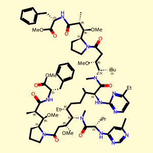 CCc1ccnc(N[C@H](C(=O)N(C)[C@@H]([C@@H](C)CC)[C@@H](CC(=O)N2CCC[C@H]2[C@H](OC)[C@@H](C)C(=O)N[C@@H](Cc2ccccc2)C(=O)OC)OC)C(C)CC[C@@H](CC)[C@@H]([C@@H](CC(=O)N2CCC[C@H]2[C@H](OC)[C@@H](C)C(=O)N[C@@H](Cc2ccccc2)C(=O)OC)OC)N(C)C(=O)[C@@H](Nc2cc(C)ncn2)C(C)C)n1